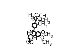 CCOc1cc2c(cc1OC)C(c1ccc(C(=O)N(C(C)C)C(C)C)cc1)=N[C@@H]1CCS(=O)(=O)C[C@H]21